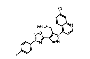 COCc1c(-c2nc(-c3ccc(F)cc3)no2)cnn1-c1ccnc2cc(Cl)ccc12